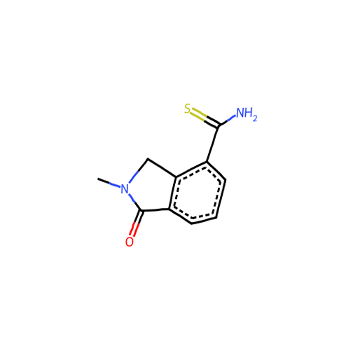 CN1Cc2c(cccc2C(N)=S)C1=O